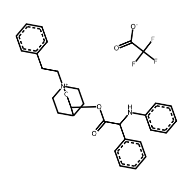 O=C(OC1C[N+]2(CCc3ccccc3)CCC1CC2)C(Nc1ccccc1)c1ccccc1.O=C([O-])C(F)(F)F